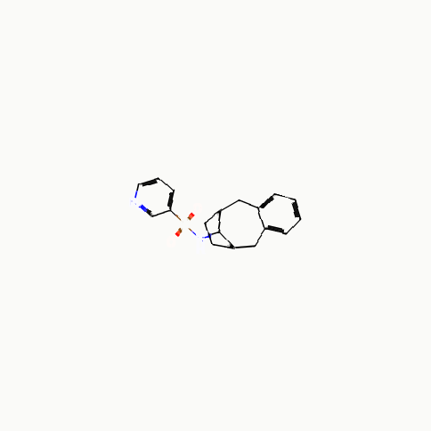 O=S(=O)(NC1C2CCC1Cc1ccccc1C2)c1cccnc1